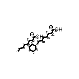 C1CCCCC1.CCCCCCCC(=O)O.CCCCCCCC(=O)O